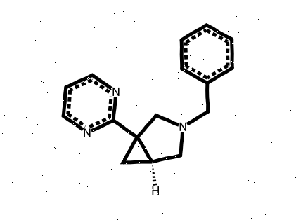 c1ccc(CN2C[C@H]3CC3(c3ncccn3)C2)cc1